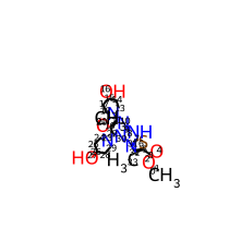 CCOC(=O)c1sc(Nc2nc(N3CCC(O)CC3)c(OC)c(N3CCC(O)CC3)n2)nc1C